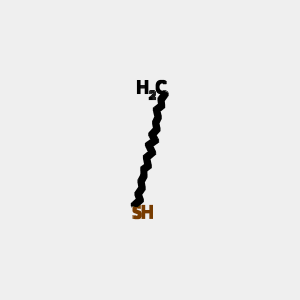 C=CCCCCCCCCCCCCCCCCCCCS